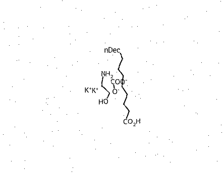 CCCCCCCCCCCCCCCCCC(=O)O.NCCO.O=C([O-])[O-].[K+].[K+]